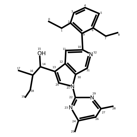 CCc1cccc(CC)c1-c1cc2c(C(O)C(C)CC)cn(-c3nc(C)cc(C)n3)c2cn1